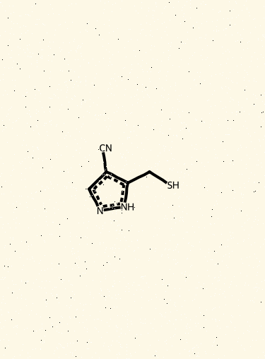 N#Cc1[c]n[nH]c1CS